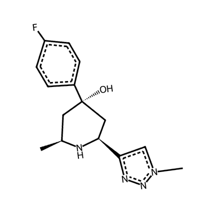 C[C@H]1C[C@@](O)(c2ccc(F)cc2)C[C@@H](c2cn(C)nn2)N1